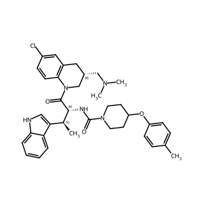 Cc1ccc(OC2CCN(C(=O)N[C@@H](C(=O)N3C[C@@H](CN(C)C)Cc4cc(Cl)ccc43)[C@@H](C)c3c[nH]c4ccccc34)CC2)cc1